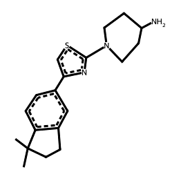 CC1(C)CCc2cc(-c3csc(N4CCC(N)CC4)n3)ccc21